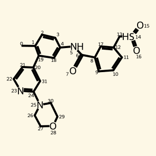 Cc1ccc(NC(=O)c2cccc(C[SH](=O)=O)c2)cc1-c1ccnc(N2CCOCC2)c1